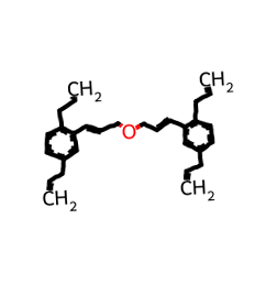 C=CCc1ccc(CC=C)c(C=CCOCC=Cc2cc(CC=C)ccc2CC=C)c1